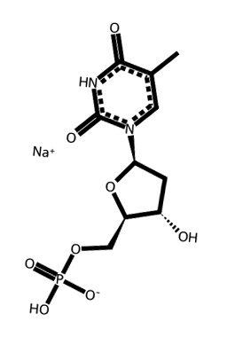 Cc1cn([C@H]2C[C@H](O)[C@@H](COP(=O)([O-])O)O2)c(=O)[nH]c1=O.[Na+]